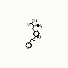 Cl.NC(Cc1cccc(OCc2ccccc2)c1)C(=O)O